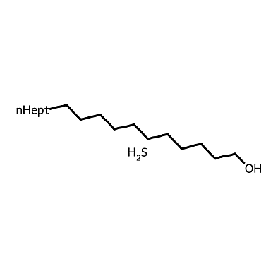 CCCCCCCCCCCCCCCCCCO.S